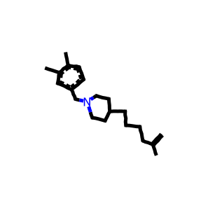 C=C(C)CCCCC1CCN(Cc2ccc(C)c(C)c2)CC1